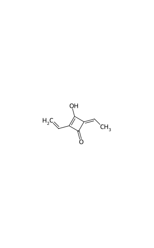 C=CC1=C(O)/C(=C/C)C1=O